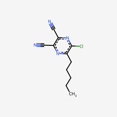 CCCCCc1nc(C#N)c(C#N)nc1Cl